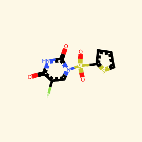 O=c1[nH]c(=O)n(S(=O)(=O)c2cccs2)cc1F